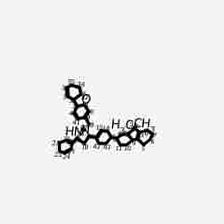 CC1(C)C2=C(CCCC2)C2CCC(C3CC=C(C4CC(C5=CCCC=C5)NN4CC4=CC5OC6CCC=CC6C5C=C4)CC3)CC21